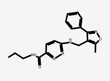 CCCNC(=O)c1ccc(NCc2c(-c3ccccc3)noc2C)nn1